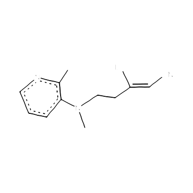 CC/C(=C\C#N)CCN(C)c1cccnc1C